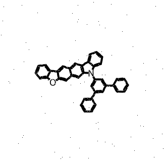 c1ccc(-c2cc(-c3ccccc3)cc(-n3c4ccccc4c4cc5cc6c(cc5cc43)oc3ccccc36)c2)cc1